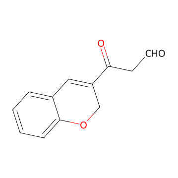 O=CCC(=O)C1=Cc2ccccc2OC1